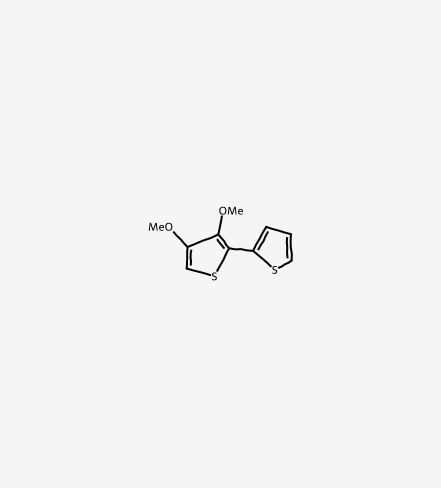 COc1csc(-c2cccs2)c1OC